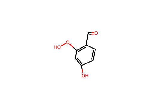 O=Cc1ccc(O)cc1OO